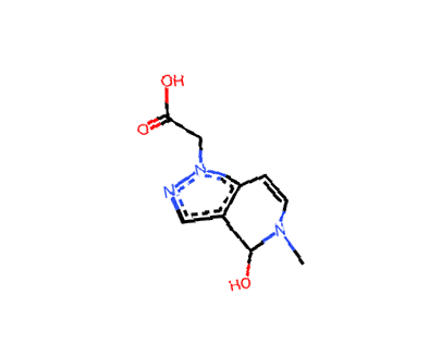 CN1C=Cc2c(cnn2CC(=O)O)C1O